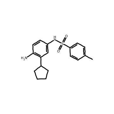 Cc1ccc(S(=O)(=O)Nc2ccc(N)c(C3CCCC3)c2)cc1